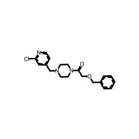 O=C(COCc1ccccc1)N1CCN(Cc2ccnc(Cl)c2)CC1